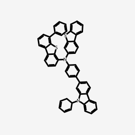 C1=CCC(n2c3ccccc3c3ccc(-c4ccc(N(c5ccc6c(c5)sc5ccccc56)c5cccc6c5sc5c(-c7ccccc7)cccc56)cc4)cc32)C=C1